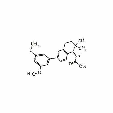 COc1cc(OC)cc(-c2ccc3c(c2)CCC(C)(C)C3NC(=O)O)c1